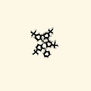 CC(C)(C)c1ccc2c(c1)N(c1ccccc1)c1cc(C(C)(C)C)cc3c1B2n1c2ccc(C(C)(C)C)cc2c2cc(C(C)(C)C)cc-3c21